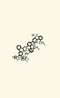 C=CC1C(CCc2ccc3c(oc4nc(-c5c(C)cccc5C)ccc43)c2-c2cc(C(C)C)cc[n+]2C)c2ccccc2-c2cc(CCC)c([Si](C)(C)C)c[n+]21